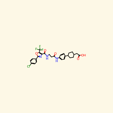 O=C(O)CC1CCC(c2ccc(NC(=O)CCNC(=O)c3nc(-c4ccc(Cl)cc4)oc3C(F)(F)F)cc2)CC1